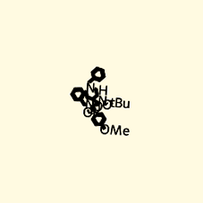 COc1ccc(S(=O)(=O)N(Cc2ccccc2)C2(C(=O)NOC(C)(C)C)CCN(Cc3ccccc3)CC2)cc1